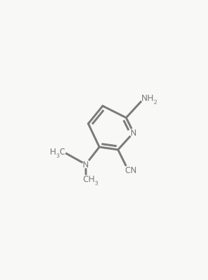 CN(C)c1ccc(N)nc1C#N